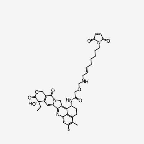 CC[C@@]1(O)C(=O)OCc2c1cc1n(c2=O)Cc2c-1nc1cc(F)c(C)c3c1c2[C@@H](NC(=O)COCNCC=CCCCCCN1C(=O)C=CC1=O)CC3